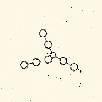 Fc1ccc(-c2ccc(-n3cc(-c4ccc(-c5ccccc5)cc4)c4cc(-c5ccc(-c6ccccc6)cc5)ccc43)cc2)cc1